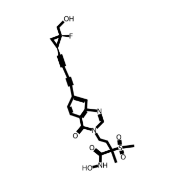 CC(CCn1cnc2cc(C#CC#C[C@H]3C[C@]3(F)CO)ccc2c1=O)(C(=O)NO)S(C)(=O)=O